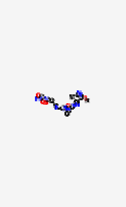 CCOc1cc(-c2ccc(N3CCC(Cc4ccccc4)(NC(=O)N4CCC(CN5CCC(c6ccc7c(c6)C(=O)N(C6CCC(=O)NC6=O)C7)CC5)CC4)CC3)nc2)c2c(C#N)cnn2c1